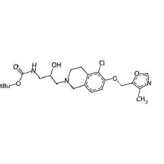 Cc1ncoc1COc1ccc2c(c1Cl)CCN(CC(O)CNC(=O)OC(C)(C)C)C2